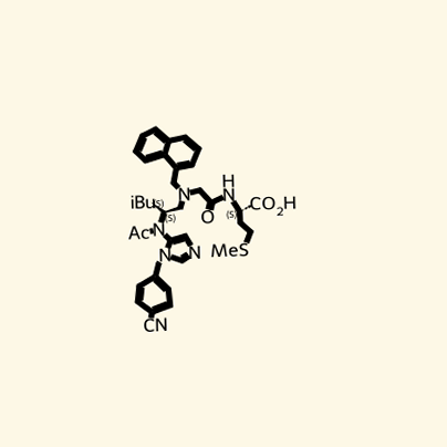 CC[C@H](C)[C@@H](CN(CC(=O)N[C@@H](CCSC)C(=O)O)Cc1cccc2ccccc12)N(C(C)=O)c1cncn1Cc1ccc(C#N)cc1